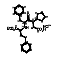 CCOC(=O)C(CCc1ccccc1)N[C@@H](Cc1ccccc1)C(=O)N(CC(=O)O)C1CCCC1.Cl